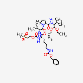 CCOC(OCC)[C@@H](NC(=O)[C@@H]1CCCN1C(=O)[C@@H](NC(=O)[C@H](CCCCNC(=O)OCc1ccccc1)NC(=O)OCCS(C)(=O)=O)C(C)C)C(C)C